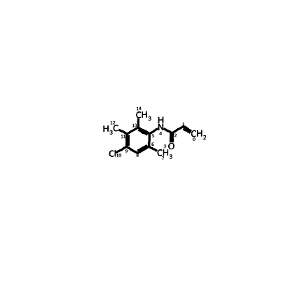 C=CC(=O)Nc1c(C)cc(Cl)c(C)c1C